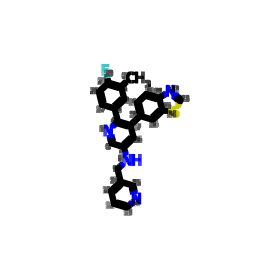 Cc1cc(-c2ncc(NCc3cccnc3)cc2-c2ccc3ncsc3c2)ccc1F